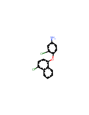 Nc1ccc(Oc2ccc(Cl)c3ccccc23)c(Cl)c1